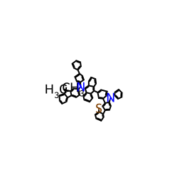 CC1(C)c2ccccc2-c2ccc(N(c3ccc(-c4ccccc4)cc3)c3c4ccccc4c(-c4ccc5c(c4)c4c6sc7ccccc7c6ccc4n5-c4ccccc4)c4ccccc34)cc21